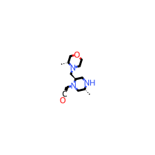 C[C@@H]1CN(C=C=O)[C@@H](CN2CCOC[C@H]2C)CN1